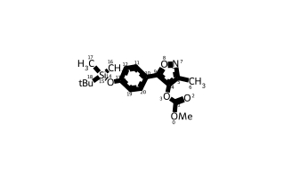 COC(=O)Oc1c(C)noc1-c1ccc(O[Si](C)(C)C(C)(C)C)cc1